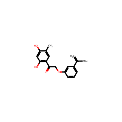 C=C(OC)c1cccc(OCC(=O)c2cc(C)c(O)cc2O)c1